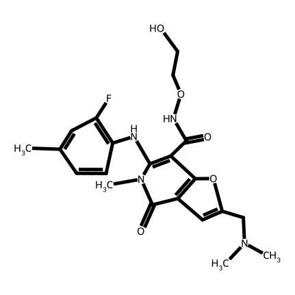 Cc1ccc(Nc2c(C(=O)NOCCO)c3oc(CN(C)C)cc3c(=O)n2C)c(F)c1